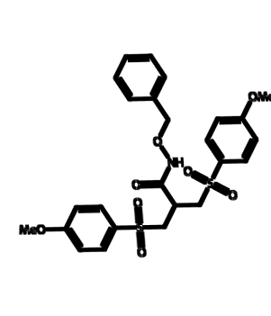 COc1ccc(S(=O)(=O)CC(CS(=O)(=O)c2ccc(OC)cc2)C(=O)NOCc2ccccc2)cc1